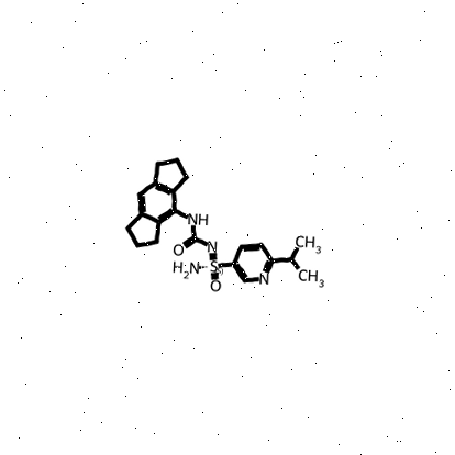 CC(C)c1ccc([S@@](N)(=O)=NC(=O)Nc2c3c(cc4c2CCC4)CCC3)cn1